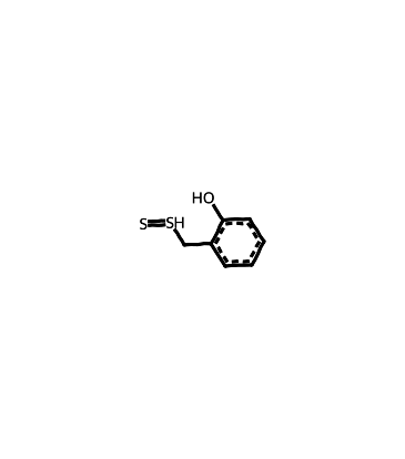 Oc1ccccc1C[SH]=S